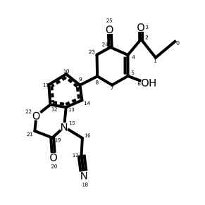 CCC(=O)C1=C(O)CC(c2ccc3c(c2)N(CC#N)C(=O)CO3)CC1=O